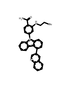 CCC(C)CCNc1cc(-n2c3ccccc3c3c(-c4cnc5ccccc5c4)cccc32)ccc1C(N)=O